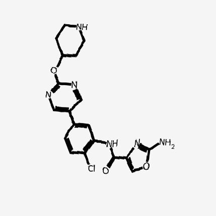 Nc1nc(C(=O)Nc2cc(-c3cnc(OC4CCNCC4)nc3)ccc2Cl)co1